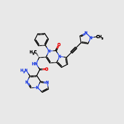 C[C@@H](NC(=O)c1c(N)ncn2ccnc12)c1cc2ccc(C#Cc3cnn(C)c3)n2c(=O)n1-c1ccccc1